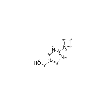 OCc1cnc(N2CCC2)nc1